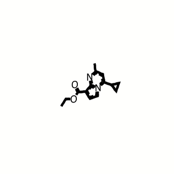 CCOC(=O)c1ccn2c(C3CC3)cc(C)nc12